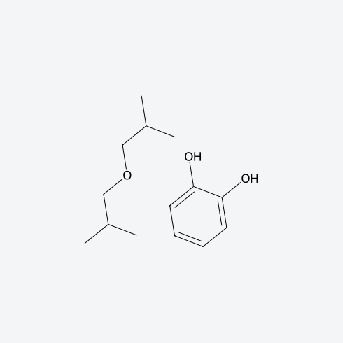 CC(C)COCC(C)C.Oc1ccccc1O